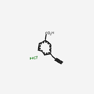 C#Cc1cccc(C(=O)O)c1.Cl